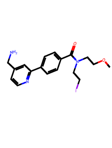 COCCN(CCI)C(=O)c1ccc(-c2cc(CN)ccn2)cc1